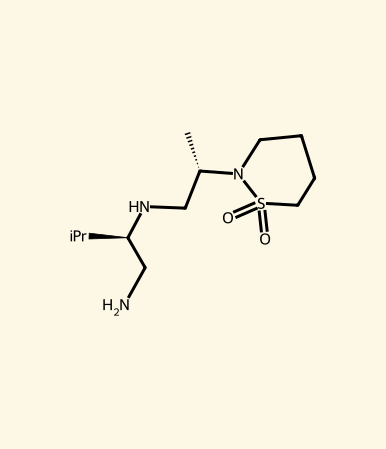 CC(C)[C@H](CN)NC[C@H](C)N1CCCCS1(=O)=O